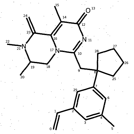 C=Cc1cc(C)cc(C2(Cc3nc(=O)c(C)c4n3CC(C)N(C)C4=C)CCCC2)c1